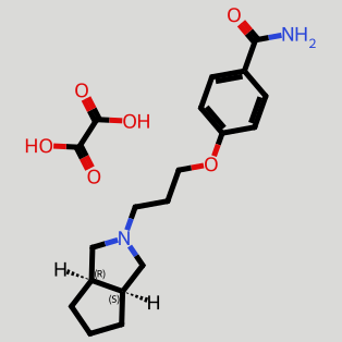 NC(=O)c1ccc(OCCCN2C[C@H]3CCC[C@H]3C2)cc1.O=C(O)C(=O)O